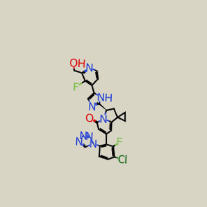 O=c1cc(-c2c(-n3cnnn3)ccc(Cl)c2F)cc2n1[C@@H](c1ncc(-c3ccnc(CO)c3F)[nH]1)CC21CC1